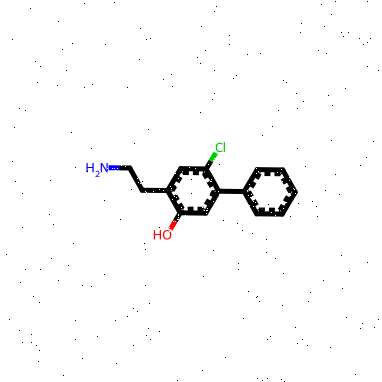 NCCc1cc(Cl)c(-c2ccccc2)cc1O